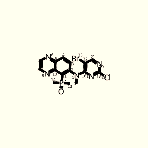 CN(c1ccc2nccnc2c1P(C)(C)=O)c1nc(Cl)ncc1Br